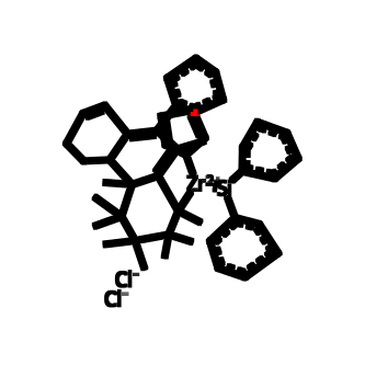 CC12C(=C3Cc4ccccc4C3=C3C=CCCC31)[C](C)([Zr+2]([CH]1C=CC=C1)=[Si](c1ccccc1)c1ccccc1)C(C)(C)C(C)(C)C2(C)C.[Cl-].[Cl-]